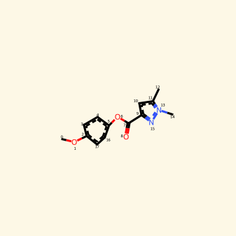 COc1ccc(OC(=O)c2cc(C)n(C)n2)cc1